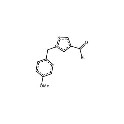 CCC(=O)c1cnn(Cc2ccc(OC)cc2)c1